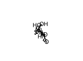 CCc1cc2c(N3CCN(C(=O)NCc4cccc(OC)c4)CC3)nc(OC[C@@H](O)CO)nc2s1